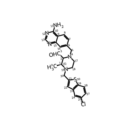 C[C@H]1C(C=O)N(Cc2ccc3c(N)ncnc3c2)CCN1Cc1cc2cc(Cl)ccc2s1